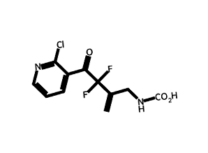 C=C(CNC(=O)O)C(F)(F)C(=O)c1cccnc1Cl